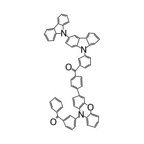 O=C(c1ccccc1)c1cccc(N2c3ccccc3Oc3cc(-c4ccc(C(=O)c5cccc(-n6c7ccccc7c7cc(-n8c9ccccc9c9ccccc98)ccc76)c5)cc4)ccc32)c1